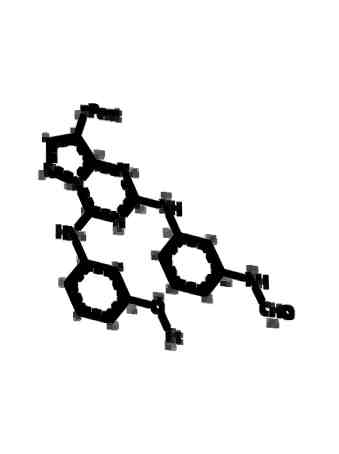 CCCCCc1cnn2c(Nc3cccc(OCC)c3)nc(Nc3cccc(NC=O)c3)nc12